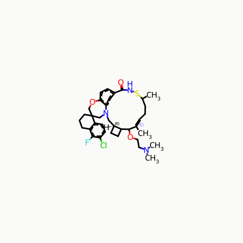 C/C1=C\CCC(C)SNC(=O)c2ccc3c(c2)N(C[C@@H]2CCC2C1OCCN(C)C)CC1(CCCc2c1ccc(Cl)c2F)CO3